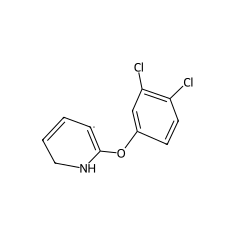 Clc1ccc(OC2=[C]C=CCN2)cc1Cl